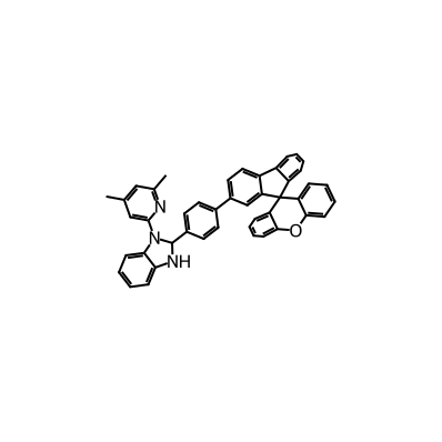 Cc1cc(C)nc(N2c3ccccc3NC2c2ccc(-c3ccc4c(c3)C3(c5ccccc5Oc5ccccc53)c3ccccc3-4)cc2)c1